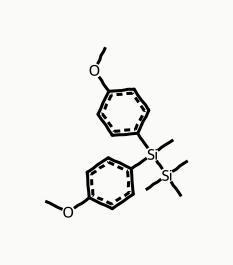 COc1ccc([Si](C)(c2ccc(OC)cc2)[Si](C)(C)C)cc1